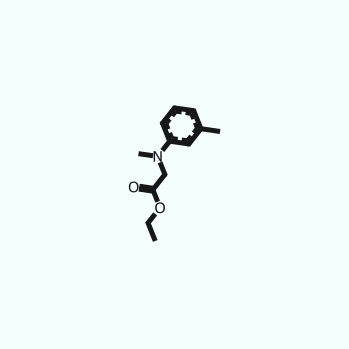 CCOC(=O)CN(C)c1cccc(C)c1